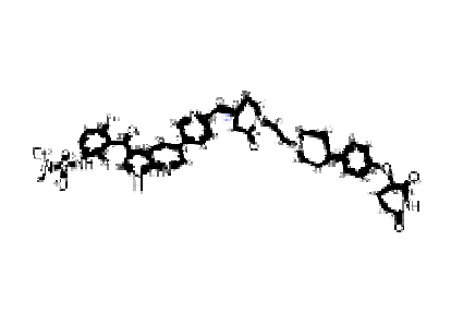 CCN(C)S(=O)(=O)Nc1ccc(F)c(C(=O)c2c[nH]c3ncc(-c4ccc(/C=C5/CCN(CCN6CCC(c7ccc(OC8CCC(=O)NC8=O)cc7)CC6)C(=O)C5)nc4)cc23)c1F